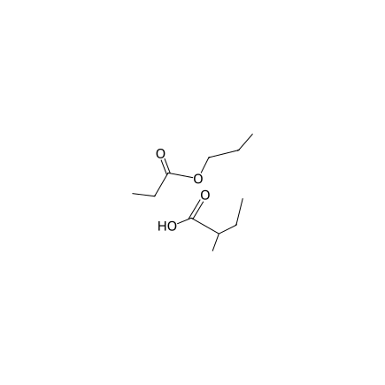 CCC(C)C(=O)O.CCCOC(=O)CC